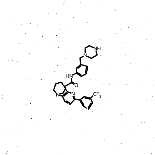 O=C(Nc1cccc(CN2CCNCC2)c1)N1c2nc(-c3cccc(C(F)(F)F)c3)ccc2N2CCC1CC2